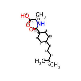 CC(C)CCCC1CCC(C(=O)N[C@@H](C)C(=O)O)CC1